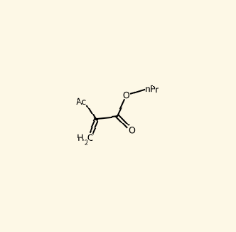 C=C(C(C)=O)C(=O)OCCC